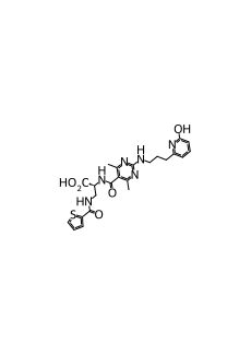 Cc1nc(NCCCc2cccc(O)n2)nc(C)c1C(=O)N[C@@H](CNC(=O)c1cccs1)C(=O)O